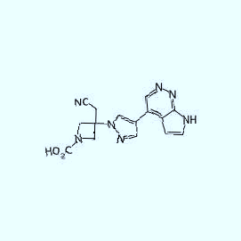 N#CCC1(n2cc(-c3cnnc4[nH]ccc34)cn2)CN(C(=O)O)C1